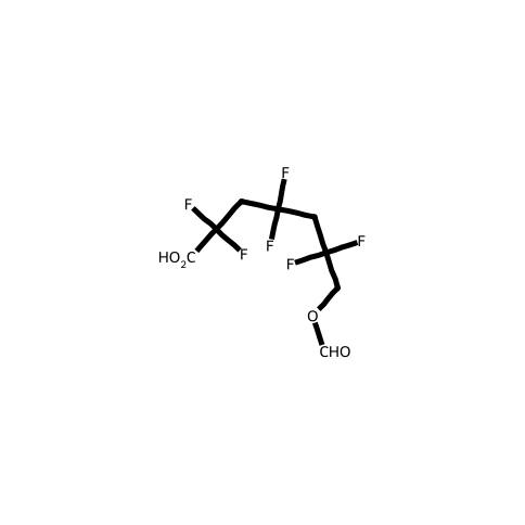 O=COCC(F)(F)CC(F)(F)CC(F)(F)C(=O)O